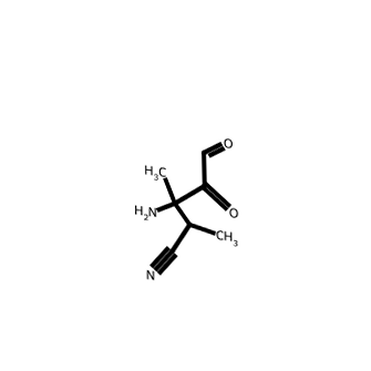 CC(C#N)C(C)(N)C(=O)C=O